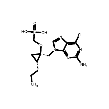 CCC[C@@H]1C[C@@]1(Cn1cnc2c(Cl)nc(N)nc21)OCP(=O)(O)O